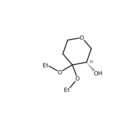 CCOC1(OCC)CCOC[C@@H]1O